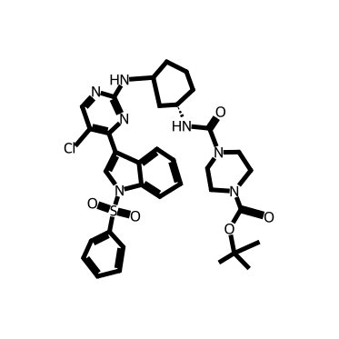 CC(C)(C)OC(=O)N1CCN(C(=O)N[C@H]2CCCC(Nc3ncc(Cl)c(-c4cn(S(=O)(=O)c5ccccc5)c5ccccc45)n3)C2)CC1